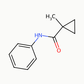 CC1(C(=O)Nc2ccccc2)CC1